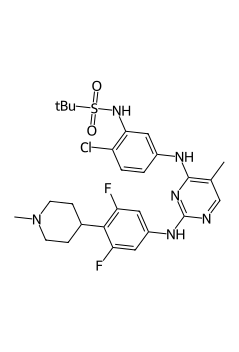 Cc1cnc(Nc2cc(F)c(C3CCN(C)CC3)c(F)c2)nc1Nc1ccc(Cl)c(NS(=O)(=O)C(C)(C)C)c1